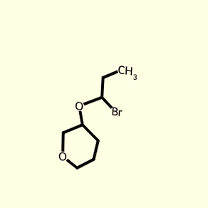 CCC(Br)OC1CCCOC1